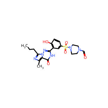 CCCc1nc(C)c2c(=O)[nH]c(-c3cc(S(=O)(=O)N4CCN(C=O)CC4)ccc3O)nn12